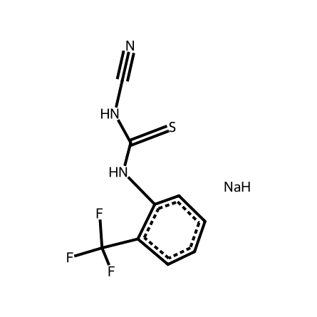 N#CNC(=S)Nc1ccccc1C(F)(F)F.[NaH]